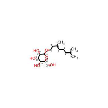 CC(C)=CCCC(C)CCOC1O[C@H](CO)[C@@H](O)[C@H](O)[C@H]1O